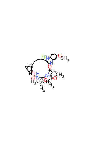 CC[C@@H]1[C@@H]2CN(C(=O)[C@H](C(C)(C)C)NC(=O)O[C@@H]3CC4CC4[C@H]3CCCCC(F)(F)c3nc4ccc(OC)cc4nc3O2)[C@@H]1C(C)=O